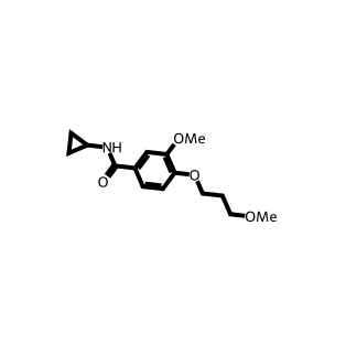 COCCCOc1ccc(C(=O)NC2CC2)cc1OC